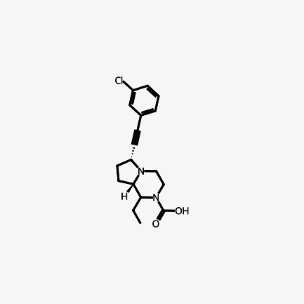 CCC1[C@@H]2CC[C@H](C#Cc3cccc(Cl)c3)N2CCN1C(=O)O